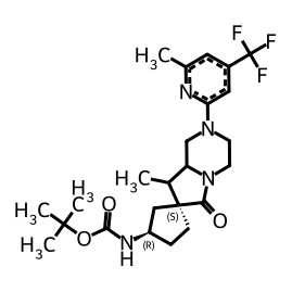 Cc1cc(C(F)(F)F)cc(N2CCN3C(=O)[C@]4(CC[C@@H](NC(=O)OC(C)(C)C)C4)C(C)C3C2)n1